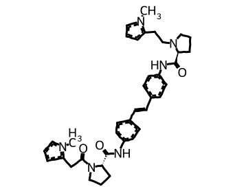 Cn1cccc1CCN1CCC[C@H]1C(=O)Nc1ccc(/C=C/c2ccc(NC(=O)[C@@H]3CCCN3C(=O)Cc3cccn3C)cc2)cc1